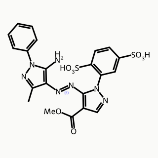 COC(=O)c1cnn(-c2cc(S(=O)(=O)O)ccc2S(=O)(=O)O)c1/N=N/c1c(C)nn(-c2ccccc2)c1N